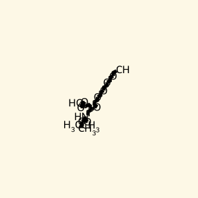 C#CCOCCOCCOCCOCCC(=O)N(CCCNC(=O)OC(C)(C)C)CCS(=O)(=O)O